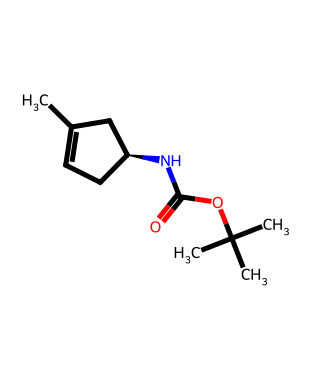 CC1=CC[C@H](NC(=O)OC(C)(C)C)C1